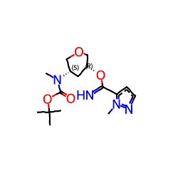 CN(C(=O)OC(C)(C)C)[C@@H]1COC[C@H](OC(=N)c2ccnn2C)C1